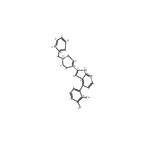 Fc1cccc(-c2ccnc3[nH]c(C4=CCN(Cc5ccccn5)CC4)cc23)c1F